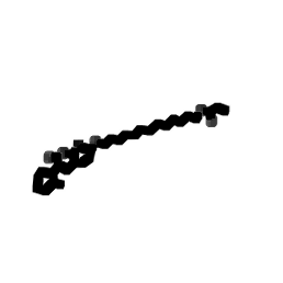 C=CC(=O)OCCCCCCCCCCCCCOc1ccc2cc(-c3ccccc3C)c(=O)oc2n1